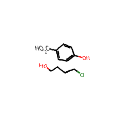 O=C(O)c1ccc(O)cc1.OCCCCCl